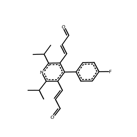 CC(C)c1nc(C(C)C)c(/C=C/C=O)c(-c2ccc(F)cc2)c1/C=C/C=O